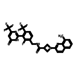 Cc1cccc2ccc(N3CC(C(=O)NCc4ccc(C(F)(F)F)c(-c5nc(C(F)(F)F)cc(=O)[nH]5)c4F)C3)nc12